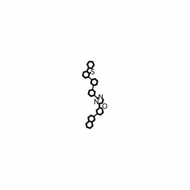 c1cc(-c2cccc(-c3cccc4c3sc3ccccc34)c2)cc(-c2ncc3oc4ccc(-c5ccc6ccccc6c5)cc4c3n2)c1